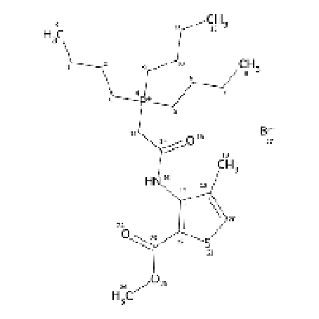 CCCC[P+](CCCC)(CCCC)CC(=O)Nc1c(C)csc1C(=O)OC.[Br-]